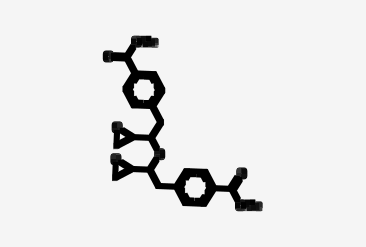 COC(=O)c1ccc(CC(OC(Cc2ccc(C(=O)OC)cc2)C2CO2)C2CO2)cc1